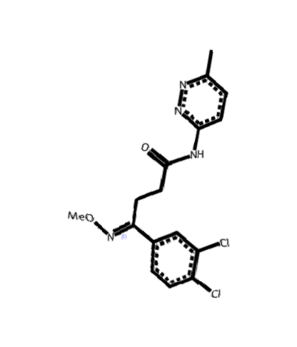 CO/N=C(\CCC(=O)Nc1ccc(C)nn1)c1ccc(Cl)c(Cl)c1